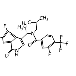 CC(C)CN(C(=O)c1ccc(C(F)(F)F)c(F)c1)[C@@H](C)c1c[nH]c(=O)c2cc(F)c(F)cc12